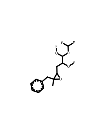 CC1(Cc2ccccc2)OC1CC(OF)C(OF)OC(F)F